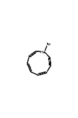 CC(=O)[SiH]1C=CC=CC=CC=C1